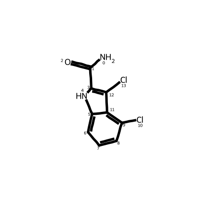 NC(=O)c1[nH]c2cccc(Cl)c2c1Cl